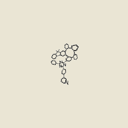 CC1(C)c2ccccc2-c2cc3c4cc(-c5nc(-c6ccccc6)nc(-c6ccc(-c7cccnc7)cc6)n5)ccc4c4ccccc4c4ccccc4c4ccccc4c3cc21